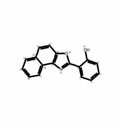 Oc1ccccc1-c1nc2c(ccc3ccccc32)o1